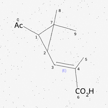 CC(=O)C1C(/C=C(\C)C(=O)O)C1(C)C